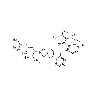 CC(C)C(C[C@H](O)CN(C)C)N1CC2(CCN(c3ncnnc3Oc3ccc(F)cc3C(=O)N(C(C)C)C(C)C)C2)C1